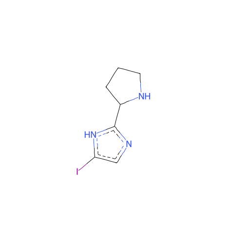 Ic1cnc(C2CCCN2)[nH]1